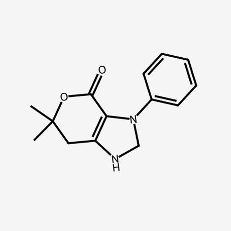 CC1(C)CC2=C(C(=O)O1)N(c1ccccc1)CN2